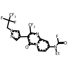 CCN(C(=O)F)c1ccn2c(=O)c(-c3cnn(CC(F)(F)C(F)(F)F)c3)c(C(F)(F)F)nc2c1